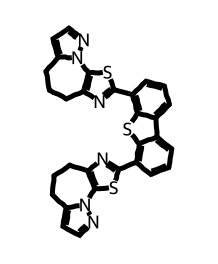 c1cc(-c2nc3c(s2)-n2nccc2CCC3)c2sc3c(-c4nc5c(s4)-n4nccc4CCC5)cccc3c2c1